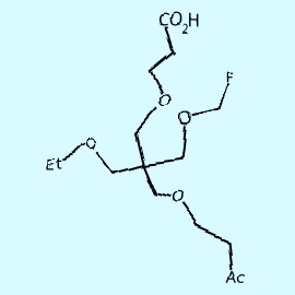 CCOCC(COCF)(COCCC(C)=O)COCCC(=O)O